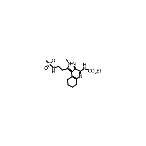 CCOC(=O)Nc1nc2c(c3c(CCNS(C)(=O)=O)n(C)nc13)CCCC2